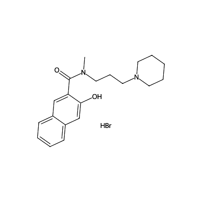 Br.CN(CCCN1CCCCC1)C(=O)c1cc2ccccc2cc1O